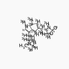 [2H]c1c(C([2H])([2H])[C@@H]2N([2H])C(=O)OC2([2H])[2H])c([2H])c2c(C([2H])([2H])C([2H])([2H])N(C)C([2H])([2H])[2H])cn([2H])c2c1[2H]